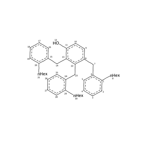 CCCCCCc1ccccc1Cc1ccc(O)c(Cc2ccccc2CCCCCC)c1Cc1ccccc1CCCCCC